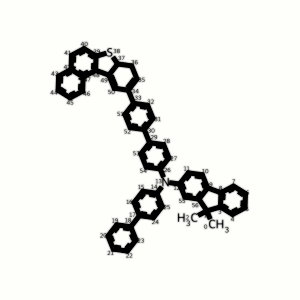 CC1(C)c2ccccc2-c2ccc(N(c3ccc(-c4ccccc4)cc3)c3ccc(-c4ccc(C5=CCC6Sc7ccc8ccccc8c7C6=C5)cc4)cc3)cc21